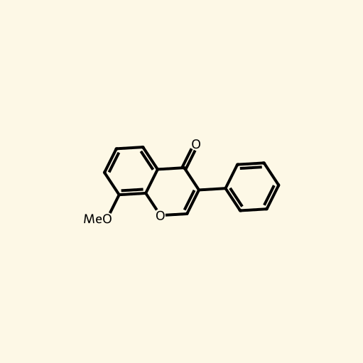 COc1cccc2c(=O)c(-c3ccccc3)coc12